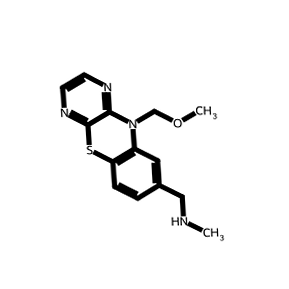 CNCc1ccc2c(c1)N(COC)c1nccnc1S2